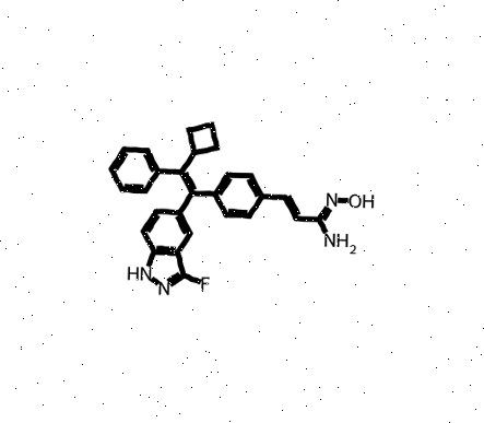 NC(C=Cc1ccc(C(=C(c2ccccc2)C2CCC2)c2ccc3[nH]nc(F)c3c2)cc1)=NO